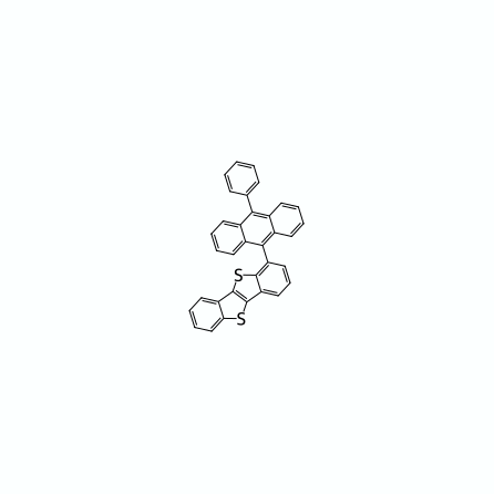 c1ccc(-c2c3ccccc3c(-c3cccc4c3sc3c5ccccc5sc43)c3ccccc23)cc1